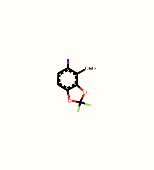 COc1c(I)ccc2c1OC(F)(F)O2